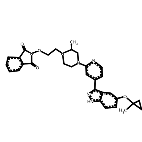 C[C@H]1CN(c2cc(-c3n[nH]c4ccc(OC5(C)CC5)cc34)ccn2)CCN1CCON1C(=O)c2ccccc2C1=O